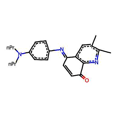 CCCN(CCC)c1ccc(N=C2C=CC(=O)c3nc(C)c(C)cc32)cc1